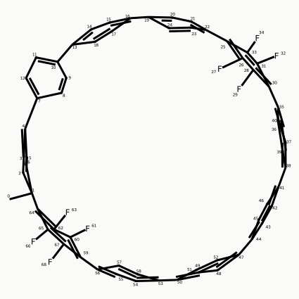 CC12C=CC(=CC1)c1ccc(cc1)-c1ccc(cc1)-c1ccc(cc1)-c1c(F)c(F)c(c(F)c1F)-c1ccc(cc1)-c1ccc(cc1)-c1ccc(cc1)-c1ccc(cc1)-c1c(F)c(F)c2c(F)c1F